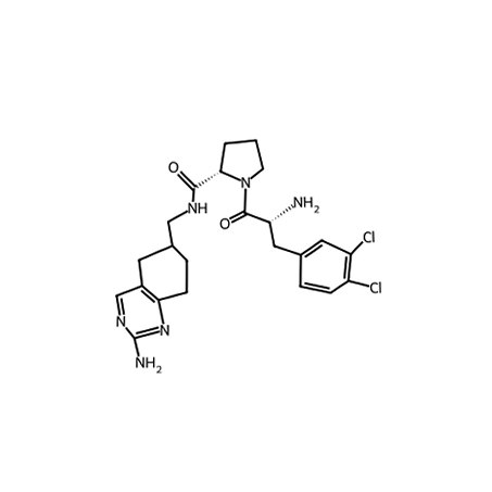 Nc1ncc2c(n1)CCC(CNC(=O)[C@@H]1CCCN1C(=O)[C@H](N)Cc1ccc(Cl)c(Cl)c1)C2